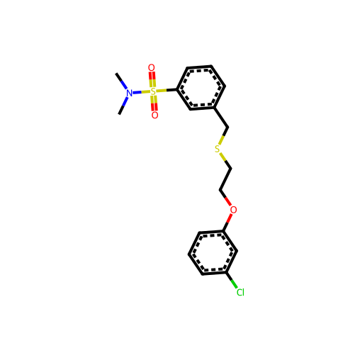 CN(C)S(=O)(=O)c1cccc(CSCCOc2cccc(Cl)c2)c1